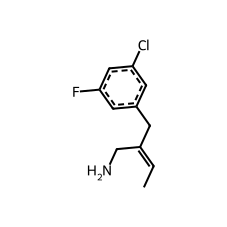 C/C=C(\CN)Cc1cc(F)cc(Cl)c1